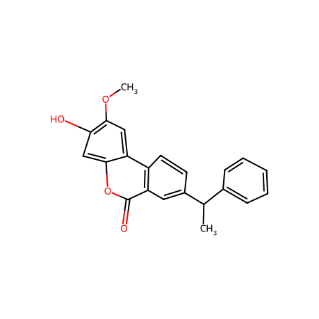 COc1cc2c(cc1O)oc(=O)c1cc(C(C)c3ccccc3)ccc12